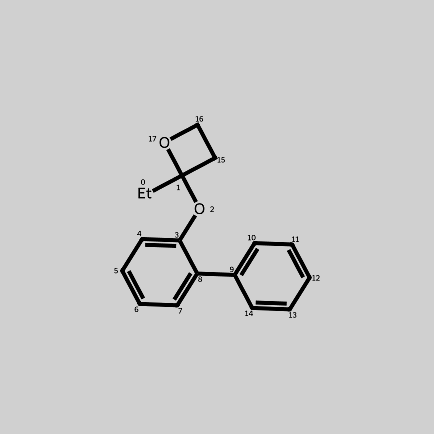 CCC1(Oc2ccccc2-c2ccccc2)CCO1